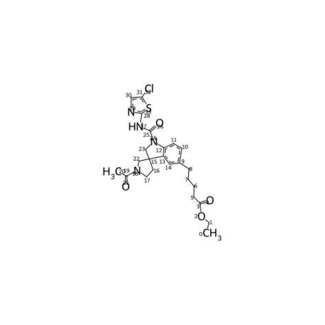 CCOC(=O)CCCCc1ccc2c(c1)C1(CCN(C(C)=O)C1)CN2C(=O)Nc1ncc(Cl)s1